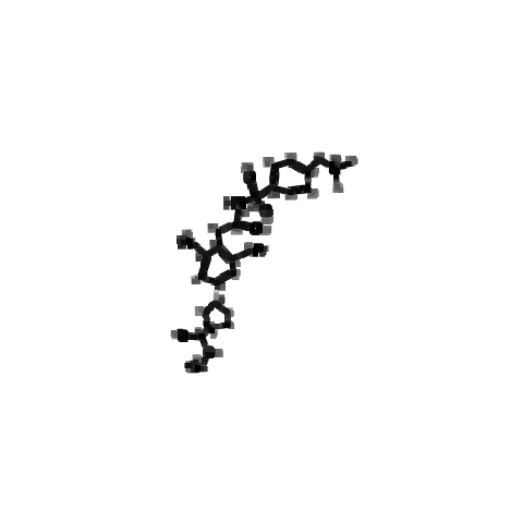 CC(C)c1cc(C2CCN(C(=O)OC(C)(C)C)C2)cc(C(C)C)c1CC(=O)NS(=O)(=O)c1ccc(CN(C)C)cc1